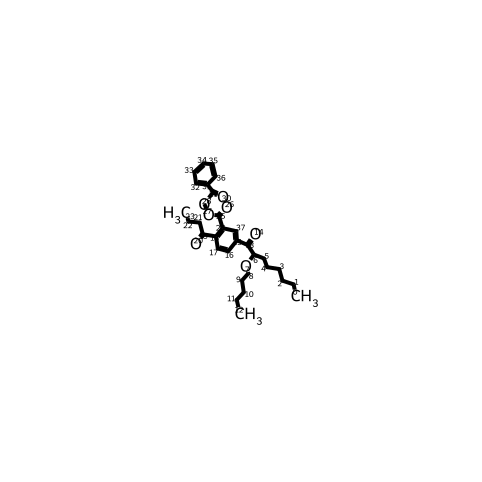 CCCCCCC(OCCCCC)C(=O)c1ccc(C(=O)CCC)c(C(=O)OOC(=O)c2ccccc2)c1